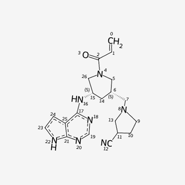 C=CC(=O)N1C[C@H](CN2CCC(C#N)C2)C[C@H](Nc2ncnc3[nH]ccc23)C1